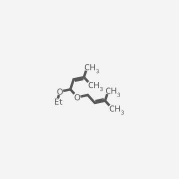 CCOC(C=C(C)C)OCC=C(C)C